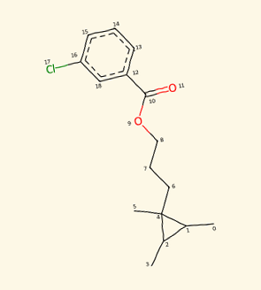 CC1C(C)C1(C)CCCOC(=O)c1[c]ccc(Cl)c1